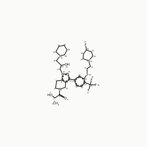 C[C@H](O)C(=O)N1CCc2c(c(-c3ccc(C(F)(F)F)c(SCCN4CCC(F)CC4)c3)nn2CC(O)CN2CCCCC2)C1